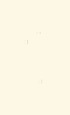 O=C(Cl)C1=C(c2ccccc2)c2cc(Cl)ccc2CC1